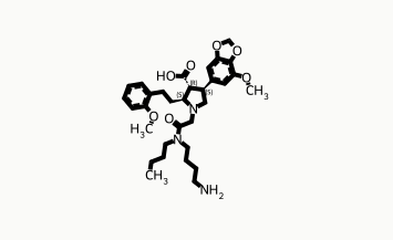 CCCCN(CCCCN)C(=O)CN1C[C@H](c2cc(OC)c3c(c2)OCO3)[C@@H](C(=O)O)[C@@H]1CCc1ccccc1OC